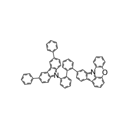 c1ccc(-c2ccc3c(c2)c2cc(-c4ccccc4)ccc2n3-c2ccccc2-c2ccccc2-c2ccc3c4cccc5c4n(c3c2)-c2ccccc2O5)cc1